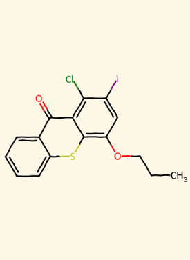 CCCOc1cc(I)c(Cl)c2c(=O)c3ccccc3sc12